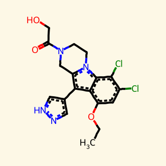 CCOc1cc(Cl)c(Cl)c2c1c(-c1cn[nH]c1)c1n2CCN(C(=O)CO)C1